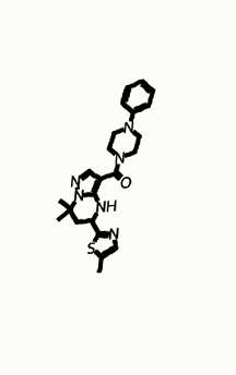 Cc1cnc(C2CC(C)(C)n3ncc(C(=O)N4CCN(c5ccccc5)CC4)c3N2)s1